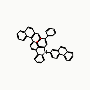 c1ccc(-c2cccc(N(c3ccc4c(ccc5ccccc54)c3)c3ccccc3-c3ccc4c(ccc5ccc6ccccc6c54)c3)c2)cc1